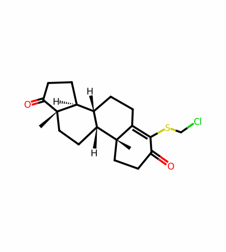 C[C@]12CCC(=O)C(SCCl)=C1CC[C@@H]1[C@H]2CC[C@]2(C)C(=O)CC[C@@H]12